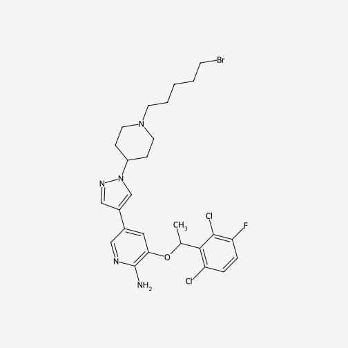 CC(Oc1cc(-c2cnn(C3CCN(CCCCCBr)CC3)c2)cnc1N)c1c(Cl)ccc(F)c1Cl